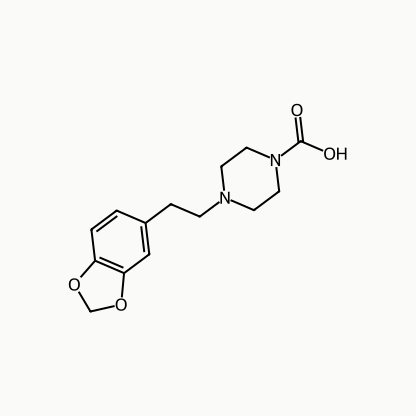 O=C(O)N1CCN(CCc2ccc3c(c2)OCO3)CC1